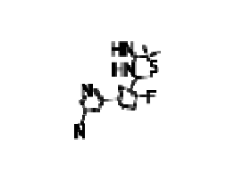 CC1(C)SCC(c2cc(-c3cncc(C#N)c3)ccc2F)NC1=N